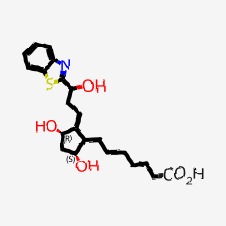 O=C(O)CCCCCCC1C(CCC(O)c2nc3ccccc3s2)[C@H](O)C[C@@H]1O